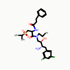 CCCC(CCC)S(=O)(=O)CC(NC(=O)CCc1ccccc1)C(=O)N(CCC(C)C)C[C@@H](O)[C@@H](N)Cc1cc(F)cc(F)c1